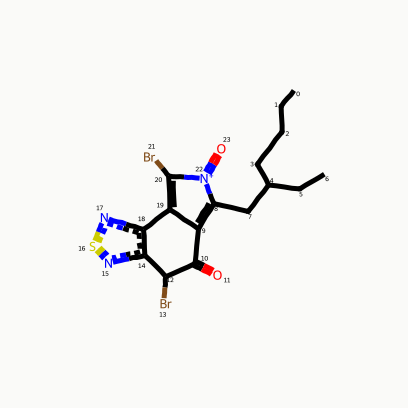 CCCCC(CC)CC1=C2C(=O)C(Br)c3nsnc3C2=C(Br)[N+]1=O